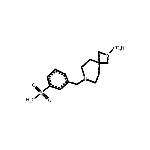 CS(=O)(=O)c1cccc(CN2CCC3(CC2)CN(C(=O)O)C3)c1